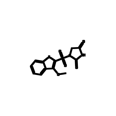 COc1c(S(=O)(=O)N2CC(=O)NC2=O)sc2ccccc12